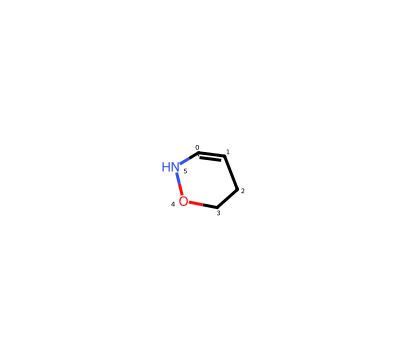 [C]1=CCCON1